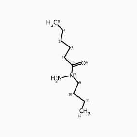 CCCCCC(=O)N(N)CCCC